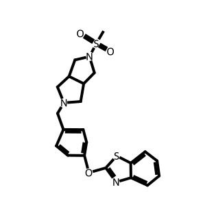 CS(=O)(=O)N1CC2CN(Cc3ccc(Oc4nc5ccccc5s4)cc3)CC2C1